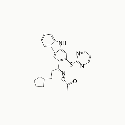 CC(=O)ON=C(CCC1CCCC1)c1cc2c(cc1Sc1ncccn1)[nH]c1ccccc12